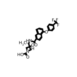 C[C@H](NC(=O)c1ccc2c(Oc3ccc(C(F)(F)F)cc3)cccc2c1)C1(O)CN(C(=O)O)C1